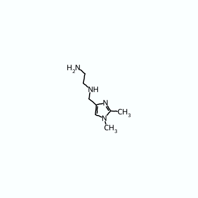 Cc1nc(CNCCN)cn1C